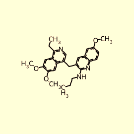 CCCNc1nc2ccc(OC)cc2cc1Cc1cnc(CC)c2cc(OC)c(OC)cc12